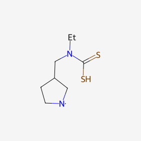 CCN(CC1CC[N]C1)C(=S)S